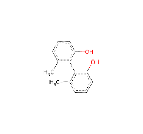 Cc1cccc(O)c1-c1c(C)cccc1O